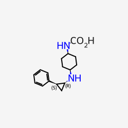 O=C(O)N[C@H]1CC[C@@H](N[C@@H]2C[C@H]2c2ccccc2)CC1